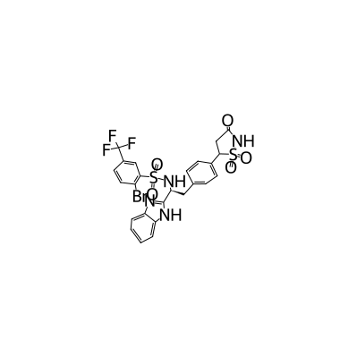 O=C1CC(c2ccc(C[C@H](NS(=O)(=O)c3cc(C(F)(F)F)ccc3Br)c3nc4ccccc4[nH]3)cc2)S(=O)(=O)N1